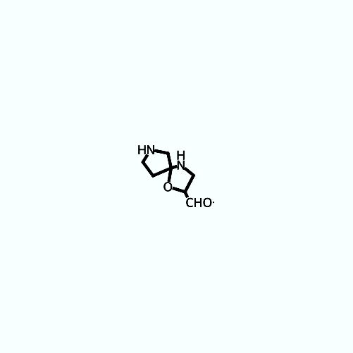 O=[C]C1CNC2(CCNC2)O1